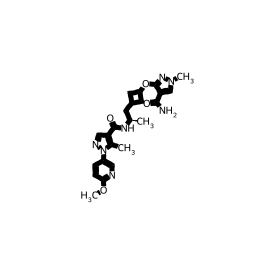 COc1ccc(-n2ncc(C(=O)N[C@@H](C)CC3CC(Oc4nn(C)cc4C(N)=O)C3)c2C)cn1